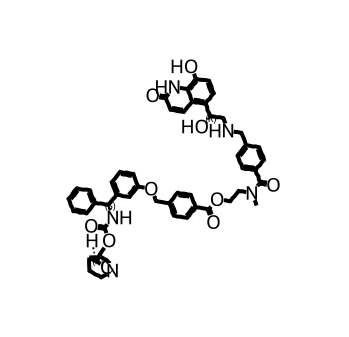 CN(CCOC(=O)c1ccc(COc2cccc([C@@H](NC(=O)O[C@H]3CN4CCC3CC4)c3ccccc3)c2)cc1)C(=O)c1ccc(CNC[C@H](O)c2ccc(O)c3[nH]c(=O)ccc23)cc1